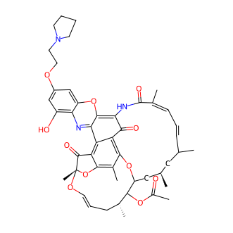 CC(=O)OC1C2C[C@H](C)CC(C)/C=C/C=C(/C)C(=O)Nc3c4oc5cc(OCCN6CCCC6)cc(O)c5nc-4c4c5c(c(C)c(c4c3=O)O2)O[C@](C)(O/C=C/C[C@H]1C)C5=O